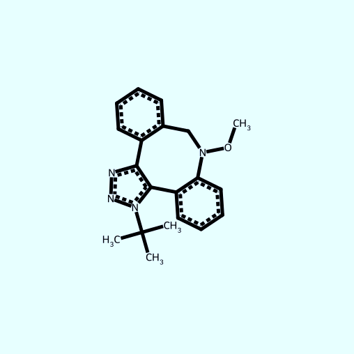 CON1Cc2ccccc2-c2nnn(C(C)(C)C)c2-c2ccccc21